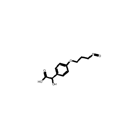 O=PCCCOc1ccc(C(O)C(=O)O)cc1